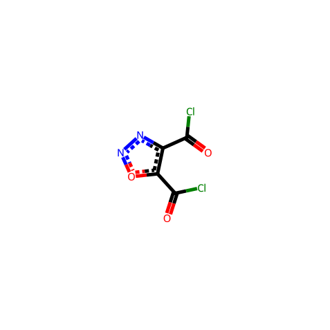 O=C(Cl)c1nnoc1C(=O)Cl